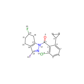 O=C(c1c(Cl)cccc1C1CC1)n1nc(I)c2c1CC(F)CC2